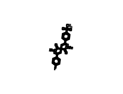 COC(=O)C(CC(=O)c1ccc(F)cc1)(CC(=O)c1ccc(S(C)(=O)=O)cc1)C(=O)OC